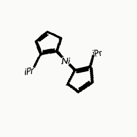 CC(C)C1=[C]([Ni][C]2=C(C(C)C)C=CC2)CC=C1